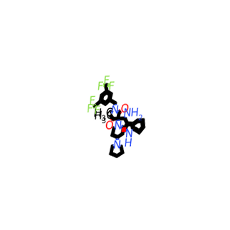 CC(=O)C(C(=O)N(C)Cc1cc(C(F)(F)F)cc(C(F)(F)F)c1)(C(N)c1c[nH]c2ccccc12)N1CCC(N2CCCCC2)CC1